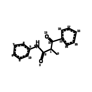 CC(C(=O)Nc1ccccc1)C(=O)c1ccccc1